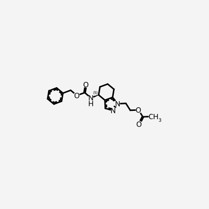 CC(=O)OCCn1ncc2c1CCC[C@@H]2NC(=O)OCc1ccccc1